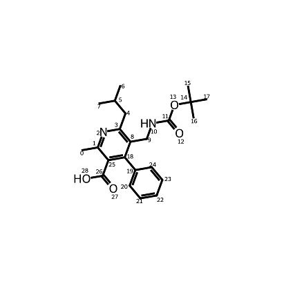 Cc1nc(CC(C)C)c(CNC(=O)OC(C)(C)C)c(-c2ccccc2)c1C(=O)O